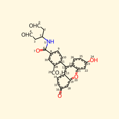 O=CCC(CC=O)NC(=O)c1ccc(-c2c3ccc(=O)cc-3oc3cc(O)ccc23)c(C(=O)O)c1